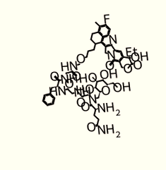 CC[C@@]1(O)C(=O)OCc2c1cc1n(c2=O)Cc2c-1nc1cc(F)c(C)c3c1c2C(CCCOCNC(=O)CNC(=O)[C@H](Cc1ccccc1)NC(=O)CNC(=O)CN(C[C@@H]1O[C@H](CO)[C@@H](O)[C@H](O)[C@H]1O)C(=O)[C@@H](N)CCC(N)=O)CC3